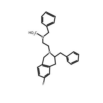 O=C(O)N(CCN1Cc2ccc(F)cc2CC1Cc1ccccc1)Cc1ccccc1